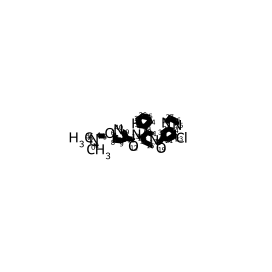 CCN(C)CCOc1ccc(C(=O)N[C@@H]2CCN(C(=O)c3cc(Cl)c4nccnc4c3)C[C@@H]2c2ccccc2)cn1